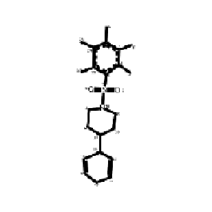 Cc1c(C)c(C)c(S(=O)(=O)N2CCC(C3C=CCC=C3)CC2)c(C)c1C